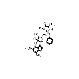 CC(C)OC(=O)[C@@H](C)N[P@@](=S)(OC[C@H]1O[C@@H](n2cnc3c(N)nc(N)nc32)C(Cl)(Cl)[C@@H]1O)Oc1ccccc1